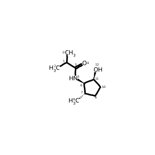 CC(C)C(=O)N[C@@H]1[C@@H](C)CC[C@@H]1O